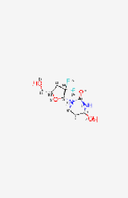 O=C1N[C@@H](O)CCN1[C@@H]1O[C@H](CO)CC1(F)F